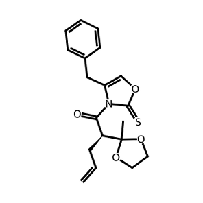 C=CC[C@@H](C(=O)n1c(Cc2ccccc2)coc1=S)C1(C)OCCO1